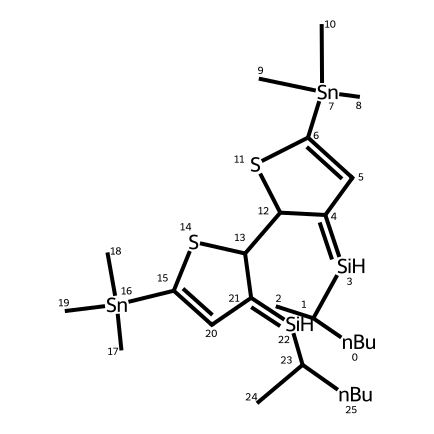 CCCCC(C)[SiH]=C1C=[C]([Sn]([CH3])([CH3])[CH3])SC1C1S[C]([Sn]([CH3])([CH3])[CH3])=CC1=[SiH]C(C)CCCC